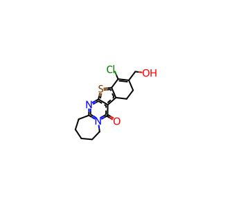 O=c1c2c3c(sc2nc2n1CCCCC2)C(Cl)=C(CO)CC3